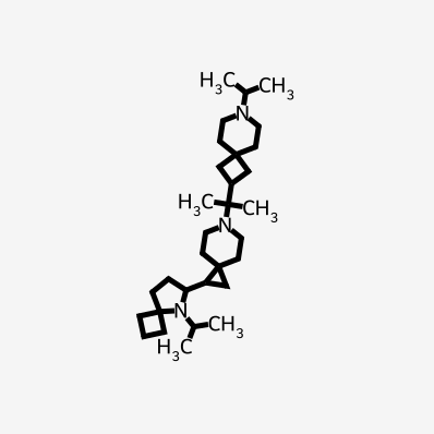 CC(C)N1CCC2(CC1)CC(C(C)(C)N1CCC3(CC1)CC3C1CCC3(CCC3)N1C(C)C)C2